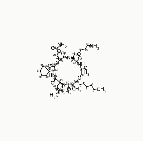 CCCCCC[C@H]1OC[C@@H](C)NC(=O)[C@H](COCCCN)NC(=O)[C@H](COC(N)=O)NC(=O)[C@H](C2CCCCC2)NC(=O)[C@H](CC(C)C)N(C)C(=O)[C@@H]1C